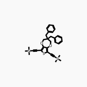 C[Si](C)(C)C#Cc1sc(C#C[Si](C)(C)C)c2c1OCC(Cc1ccccc1)(Cc1ccccc1)CO2